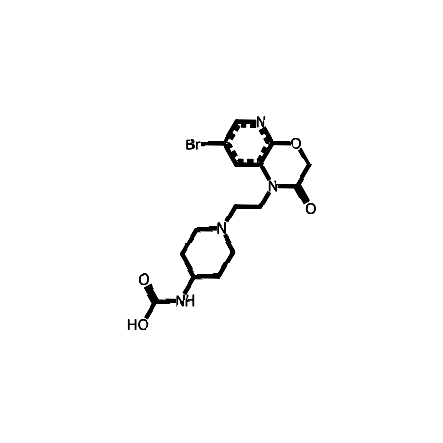 O=C(O)NC1CCN(CCN2C(=O)COc3ncc(Br)cc32)CC1